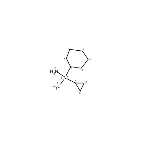 C[N+](N)(C1CCCCC1)C1CC1